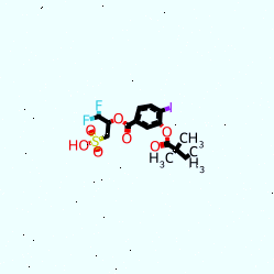 CCC(C)(C)C(=O)Oc1cc(C(=O)OC(CS(=O)(=O)O)C(F)F)ccc1I